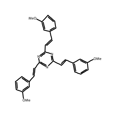 COc1cccc(/C=C/c2nc(/C=C/c3cccc(OC)c3)nc(/C=C/c3cccc(OC)c3)n2)c1